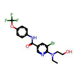 CCN(CCO)c1ncc(C(=O)Nc2ccc(OC(F)(F)F)cc2)cc1Br